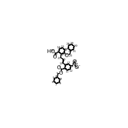 O=C(OCc1ccccc1)c1ccc([N+](=O)[O-])cc1/C=C/Cc1c(OCc2ccccc2)cccc1C(=O)O